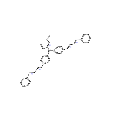 C=C/C=C(\C=C)N(c1ccc(/C=C/C=C/c2ccccc2)cc1)c1ccc(/C=C/C=C/c2ccccc2)cc1